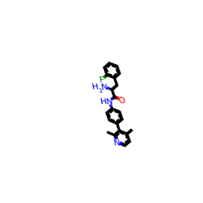 Cc1ccnc(C)c1-c1ccc(NC(=O)C(N)Cc2ccccc2F)cc1